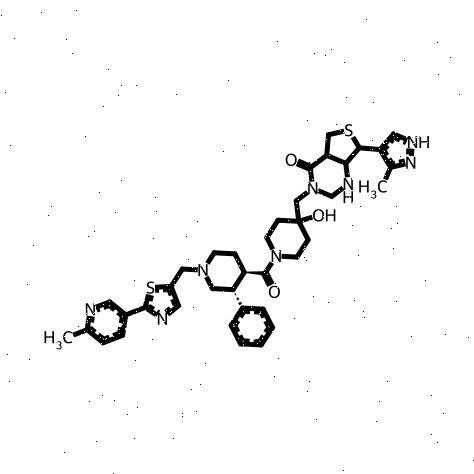 Cc1ccc(-c2ncc(CN3CC[C@@H](C(=O)N4CCC(O)(CN5CNC6C(CSC6c6c[nH]nc6C)C5=O)CC4)[C@H](c4ccccc4)C3)s2)cn1